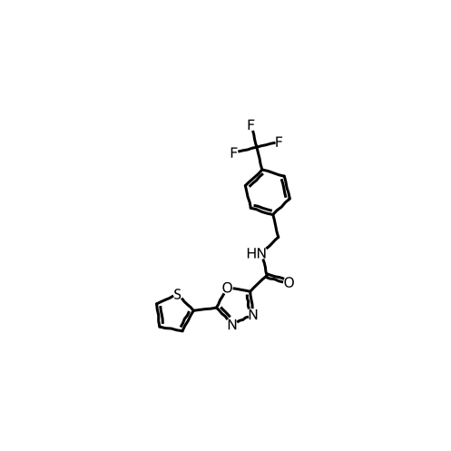 O=C(NCc1ccc(C(F)(F)F)cc1)c1nnc(-c2cccs2)o1